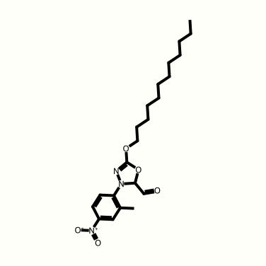 CCCCCCCCCCCCOC1=NN(c2ccc([N+](=O)[O-])cc2C)C(C=O)O1